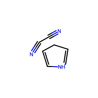 C1=CNC=CC1.N#CC#N